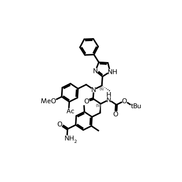 COc1ccc(CN(C(=O)[C@H](Cc2c(C)cc(C(N)=O)cc2C)NC(=O)OC(C)(C)C)[C@@H](C)c2nc(-c3ccccc3)c[nH]2)cc1C(C)=O